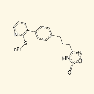 CCCSc1ncccc1-c1ccc(CCCc2noc(=O)[nH]2)cc1